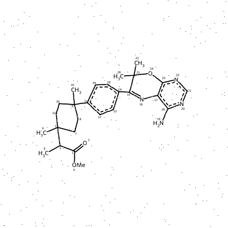 COC(=O)C(C)C1(C)CCC(C)(c2ccc(C3=Nc4c(N)ncnc4OC3(C)C)cc2)CC1